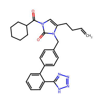 C=CCCc1cn(C(=O)C2CCCCC2)c(=O)n1Cc1ccc(-c2ccccc2-c2nnn[nH]2)cc1